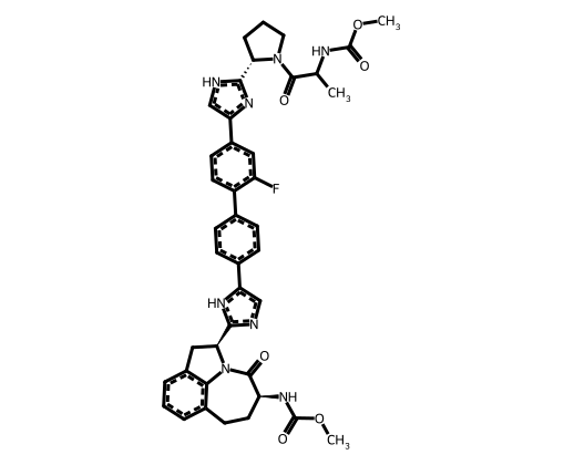 COC(=O)NC(C)C(=O)N1CCC[C@H]1c1nc(-c2ccc(-c3ccc(-c4cnc([C@@H]5Cc6cccc7c6N5C(=O)[C@@H](NC(=O)OC)CC7)[nH]4)cc3)c(F)c2)c[nH]1